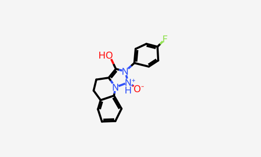 [O-][NH+]1N(c2ccc(F)cc2)C(O)=C2CCc3ccccc3N21